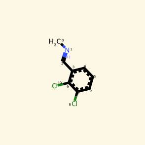 C/N=C/c1cccc(Cl)c1Cl